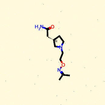 CC(C)=NOCCN1CC[C@@H](CC(N)=O)C1